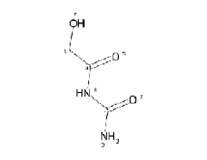 NC(=O)NC(=O)CO